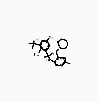 CCCC(C)C(C)(C)c1cc(C(C)(C)C)cc(C(C)(CC)Pc2ccc(C)cc2CN2CCCCC2)c1O